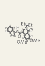 CCC(CC)n1cc(C(=O)NC2CCc3ccccc32)c2cc(OC)c(OC)cc2c1=O